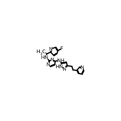 C[C@H](Nc1nccc(Nc2cc(CCc3cccnc3)n[nH]2)n1)c1ccc(F)cn1